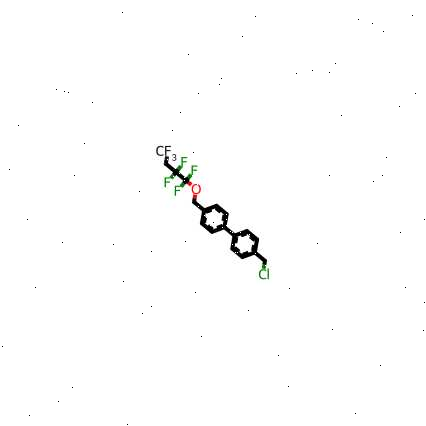 FC(F)(F)CC(F)(F)C(F)(F)OCc1ccc(-c2ccc(CCl)cc2)cc1